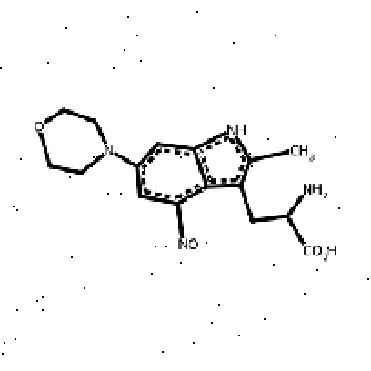 Cc1[nH]c2cc(N3CCOCC3)cc(N=O)c2c1CC(N)C(=O)O